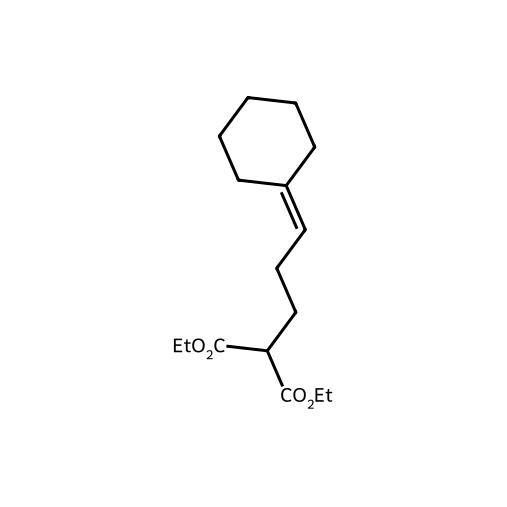 CCOC(=O)C(CCC=C1CCCCC1)C(=O)OCC